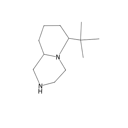 CC(C)(C)C1CCCC2CNCCN21